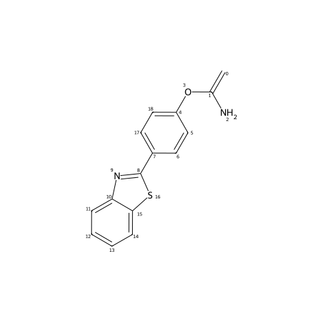 C=C(N)Oc1ccc(-c2nc3ccccc3s2)cc1